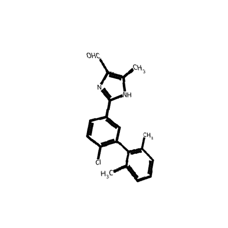 Cc1cccc(C)c1-c1cc(-c2nc(C=O)c(C)[nH]2)ccc1Cl